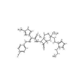 Nc1nc(C(=NOc2ccc(F)cc2)C(=O)NC2C(=O)N3CC(CSc4nnnn4CCO)(C(=O)O)CS[C@H]23)ns1